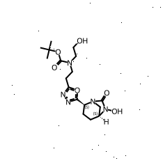 CC(C)(C)OC(=O)N(CCO)CCc1nnc([C@@H]2CC[C@H]3CN2C(=O)N3O)o1